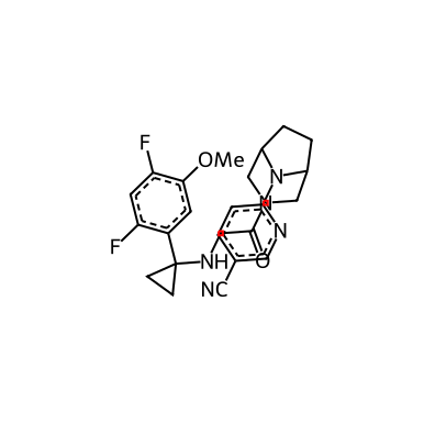 COc1cc(C2(NCC(=O)N3CC4CCC(C3)N4c3ccc(C#N)cn3)CC2)c(F)cc1F